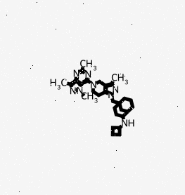 Cc1nc(N2CCc3c(c(C)nn3CC34CCCC(C3)C(NC3CCC3)CC4)C2)c2c(n1)c(C)nn2C